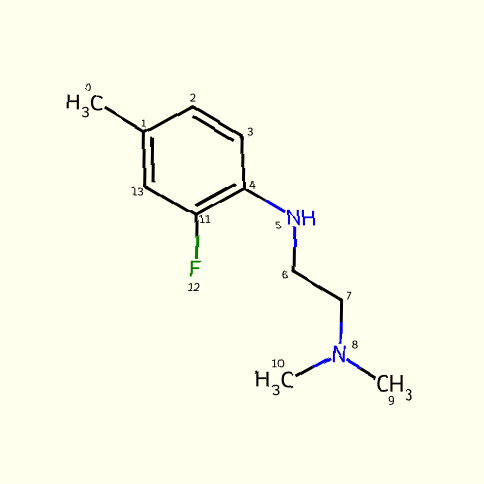 Cc1ccc(NCCN(C)C)c(F)c1